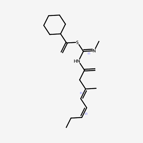 C=C(C/C(C)=C/C=C\CC)N/C(=N/C)SC(=C)C1CCCCC1